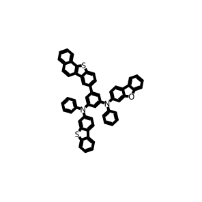 c1ccc(N(c2cc(-c3ccc4sc5c6ccccc6ccc5c4c3)cc(N(c3ccccc3)c3ccc4c(c3)sc3ccccc34)c2)c2ccc3c(c2)oc2ccccc23)cc1